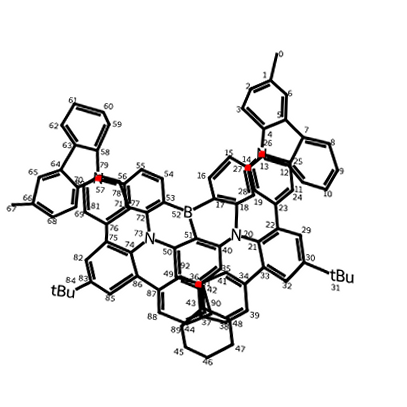 Cc1ccc2c(c1)c1ccccc1n2-c1ccc2c(c1)N(c1c(-c3ccccc3)cc(C(C)(C)C)cc1-c1ccccc1)c1cc(C3CCCCC3)cc3c1B2c1ccc(-n2c4ccccc4c4cc(C)ccc42)cc1N3c1c(-c2ccccc2)cc(C(C)(C)C)cc1-c1ccccc1